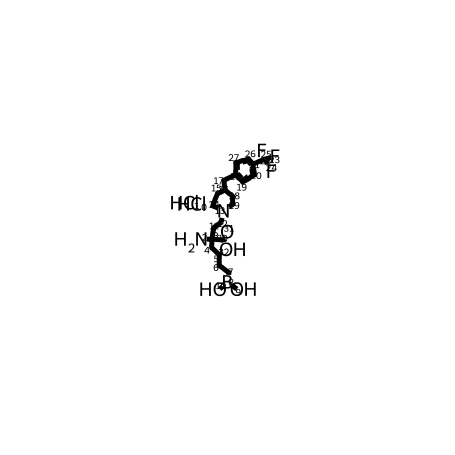 Cl.Cl.NC(CCCCB(O)O)(CCN1CCC(Cc2ccc(C(F)(F)F)cc2)CC1)C(=O)O